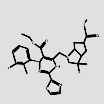 CCOC(=O)C1=C(CN2CC(F)(F)C3CC(C(=O)OC)CC32)NC(c2nccs2)=N[C@H]1c1cccc(F)c1C